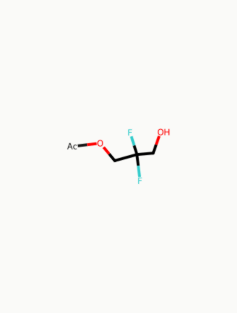 CC(=O)OCC(F)(F)CO